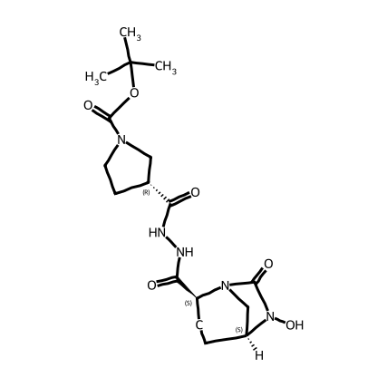 CC(C)(C)OC(=O)N1CC[C@@H](C(=O)NNC(=O)[C@@H]2CC[C@H]3CN2C(=O)N3O)C1